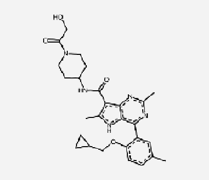 Cc1ccc(OCC2CC2)c(-c2nc(C)nc3c(C(=O)NC4CCN(C(=O)CO)CC4)c(C)[nH]c23)c1